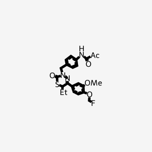 CCC1SC(=O)N(Cc2ccc(NC(=O)C(C)=O)cc2)N=C1c1ccc(OCF)c(OC)c1